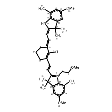 COCC[N+]1=C(/C=C/C2=C(Cl)C(=C/C=C3/Nc4c(C)cc(OC)cc4C3(C)C)/CCC2)C(C)(C)c2cc(OC)cc(C)c21